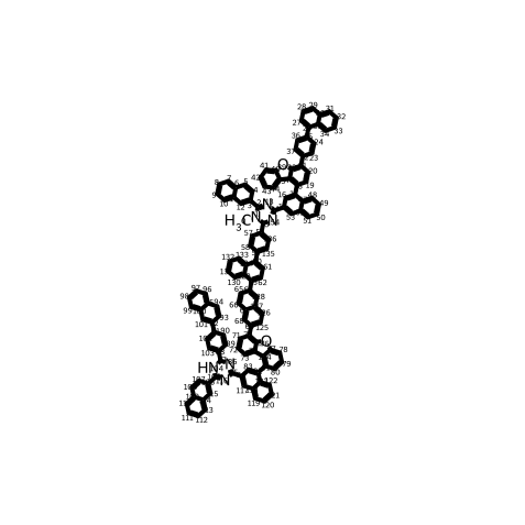 CN1C(c2ccc3ccccc3c2)=NC(c2cc(-c3ccc(-c4ccc(-c5cccc6ccccc56)cc4)c4oc5ccccc5c34)c3ccccc3c2)=NC1c1ccc(-c2ccc(-c3ccc4cc(-c5cccc6c5oc5cccc(-c7cc(C8=NC(c9ccc(-c%10ccc%11ccccc%11c%10)cc9)NC(c9ccc%10ccccc%10c9)=N8)cc8ccccc78)c56)ccc4c3)c3ccccc23)cc1